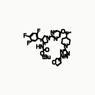 C[C@H](Oc1cnc(N2C[C@H](NC(=O)OC(C)(C)C)[C@@H](c3cc(F)c(F)cc3F)C2)nc1)C1CCN(c2nnn([C@H]3CCOC3)n2)CC1